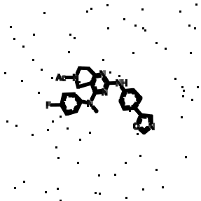 CC(=O)N1CCc2nc(Nc3ccc(-c4cnco4)cc3)nc(N(C)c3ccc(F)cc3)c2C1